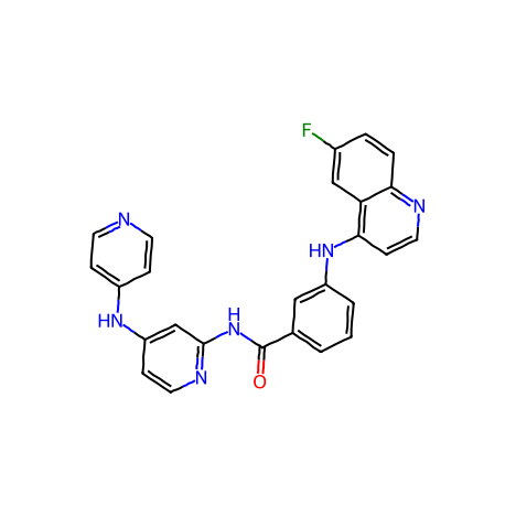 O=C(Nc1cc(Nc2ccncc2)ccn1)c1cccc(Nc2ccnc3ccc(F)cc23)c1